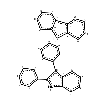 c1ccc(-c2[nH]c3ccccc3c2-c2ccccc2)cc1.c1ccc2c(c1)[nH]c1ccccc12